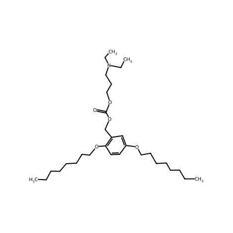 CCCCCCCCOc1ccc(OCCCCCCCC)c(COC(=O)OCCCN(CC)CC)c1